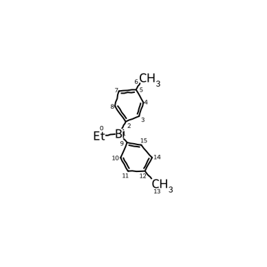 C[CH2][Bi]([c]1ccc(C)cc1)[c]1ccc(C)cc1